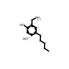 CCCCCc1ccc(O)c(CN)c1.Cl